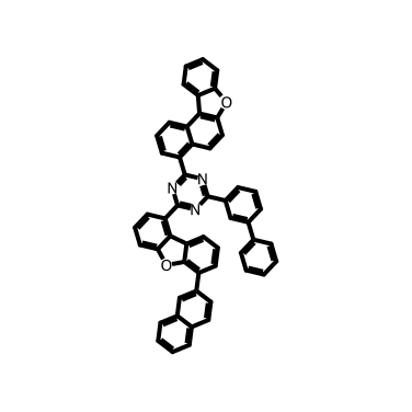 c1ccc(-c2cccc(-c3nc(-c4cccc5c4ccc4oc6ccccc6c45)nc(-c4cccc5oc6c(-c7ccc8ccccc8c7)cccc6c45)n3)c2)cc1